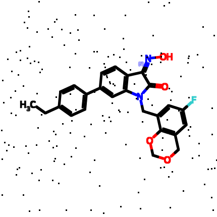 CCc1ccc(-c2ccc3c(c2)N(Cc2cc(F)cc4c2OCOC4)C(=O)/C3=N\O)cc1